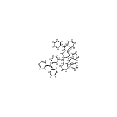 c1ccc(N(c2ccccc2)c2cccc(N3c4ccccc4C4(c5cc6c7ccccc7n(-c7ccccc7)c6cc53)c3ccoc3-c3occc34)c2)cc1